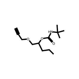 C#CCOCC(CCC)OC(=O)NC(C)(C)C